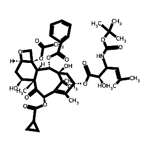 CC(=O)O[C@@]12CO[C@@H]1C[C@H](O)[C@@]1(C)C(=O)[C@H](OC(=O)C3CC3)C3=C(C)[C@@H](OC(=O)[C@H](O)C(C=C(C)C)NC(=O)OC(C)(C)C)C[C@@](O)([C@@H](OC(=O)c4ccccc4)[C@H]21)C3(C)C